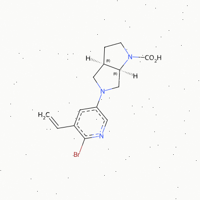 C=Cc1cc(N2C[C@H]3CCN(C(=O)O)[C@H]3C2)cnc1Br